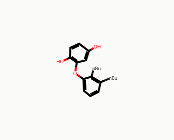 CCCCc1cccc(Oc2cc(O)ccc2O)c1CCCC